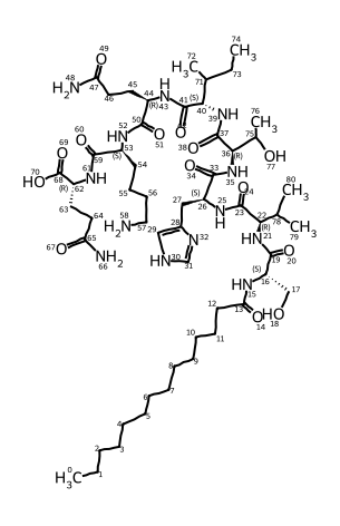 CCCCCCCCCCCCCC(=O)N[C@@H](CO)C(=O)N[C@@H](C(=O)N[C@@H](Cc1c[nH]cn1)C(=O)N[C@@H](C(=O)N[C@H](C(=O)N[C@H](CCC(N)=O)C(=O)N[C@@H](CCCCN)C(=O)N[C@H](CCC(N)=O)C(=O)O)C(C)CC)C(C)O)C(C)C